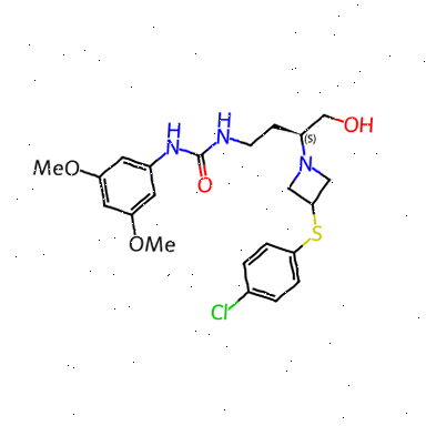 COc1cc(NC(=O)NCC[C@@H](CO)N2CC(Sc3ccc(Cl)cc3)C2)cc(OC)c1